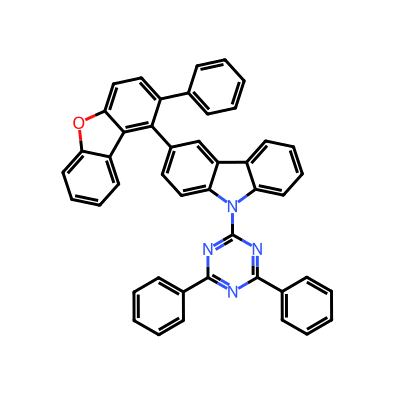 c1ccc(-c2nc(-c3ccccc3)nc(-n3c4ccccc4c4cc(-c5c(-c6ccccc6)ccc6oc7ccccc7c56)ccc43)n2)cc1